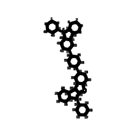 c1ccc(-n2c3ccccc3c3cc(-c4ccc(-c5ccc6oc7c(c6c5)c5ccccc5n7-c5ccccc5)cc4)ccc32)cc1